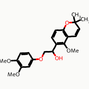 COc1ccc(OCC(O)c2ccc3c(c2OC)C=CC(C)(C)O3)cc1OC